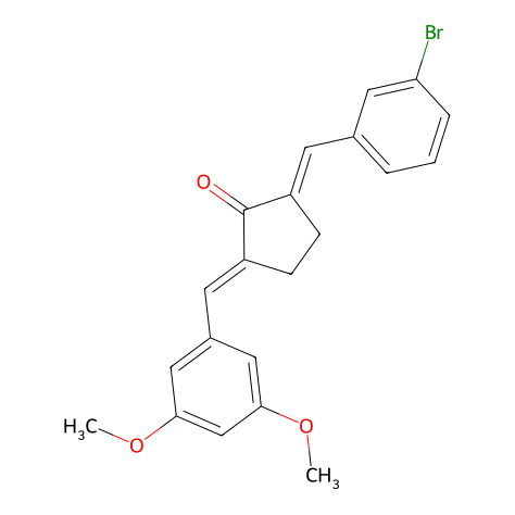 COc1cc(/C=C2\CC/C(=C\c3cccc(Br)c3)C2=O)cc(OC)c1